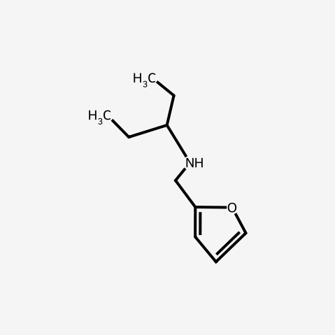 CCC(CC)NCc1ccco1